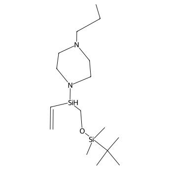 C=C[SiH](CO[Si](C)(C)C(C)(C)C)N1CCN(CCC)CC1